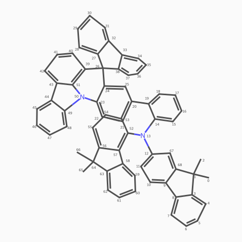 CC1(C)c2ccccc2-c2ccc(N(c3ccccc3-c3ccc4c(c3)C3(c5ccccc5-c5ccccc53)c3cccc5c6ccccc6n-4c35)c3cccc4c3-c3ccccc3C4(C)C)cc21